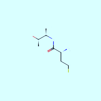 C[C@@H](O)[C@H](NC(=O)[C@@H](N)CCS)C(=O)O